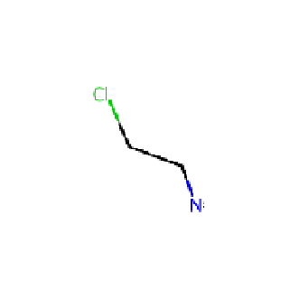 [N]CCCl